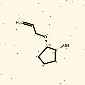 C=CCO[C@H]1CCC[C@H]1O